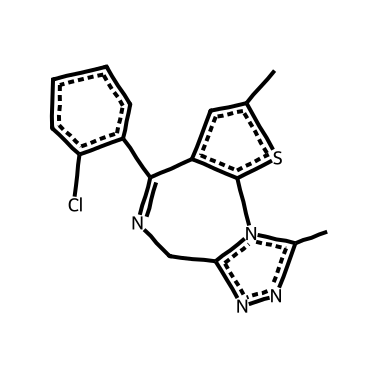 Cc1cc2c(s1)-n1c(C)nnc1CN=C2c1ccccc1Cl